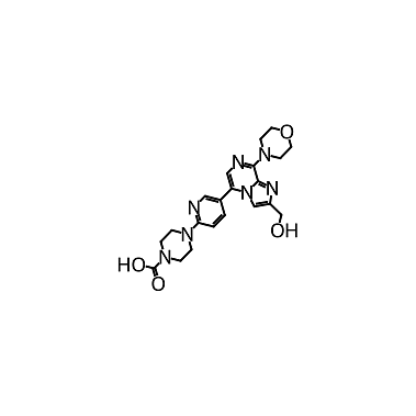 O=C(O)N1CCN(c2ccc(-c3cnc(N4CCOCC4)c4nc(CO)cn34)cn2)CC1